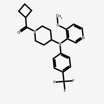 COc1ccncc1N(c1ccc(C(F)(F)F)cc1)C1CCN(C(=O)C2CCC2)CC1